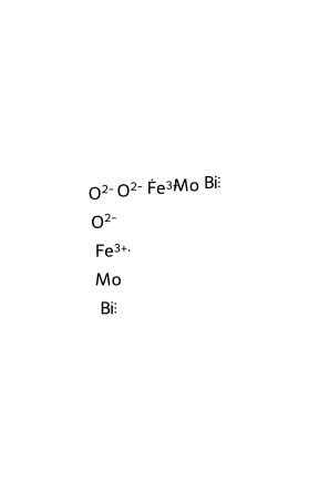 [Bi].[Bi].[Fe+3].[Fe+3].[Mo].[Mo].[O-2].[O-2].[O-2]